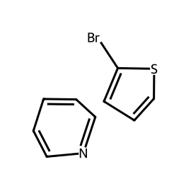 Brc1cccs1.c1ccncc1